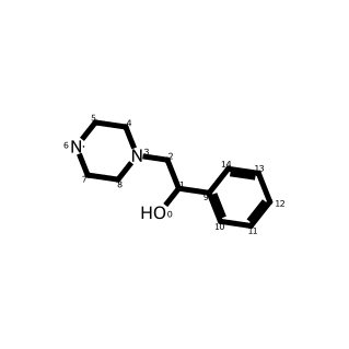 OC(CN1CC[N]CC1)c1ccccc1